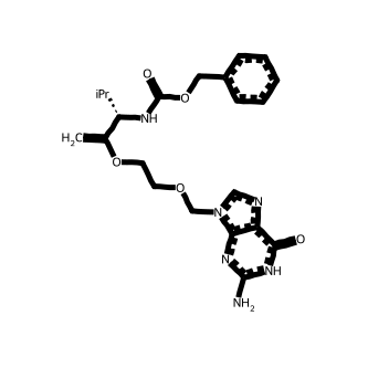 C=C(OCCOCn1cnc2c(=O)[nH]c(N)nc21)[C@@H](NC(=O)OCc1ccccc1)C(C)C